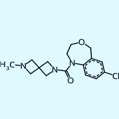 CN1CC2(C1)CN(C(=O)N1CCOCc3cc(Cl)ccc31)C2